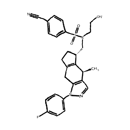 C[C@@H]1C2=C(CC[C@@H]2CN(CCO)S(=O)(=O)c2ccc(C#N)cc2)Cc2c1cnn2-c1ccc(F)cc1